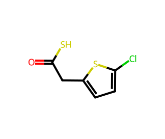 O=C(S)Cc1ccc(Cl)s1